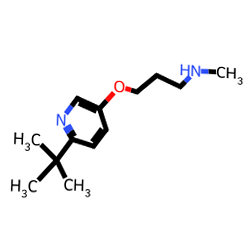 CNCCCOc1ccc(C(C)(C)C)nc1